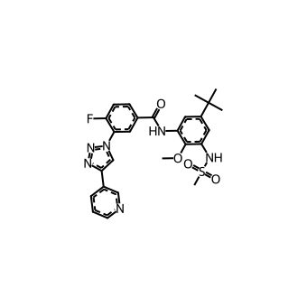 COc1c(NC(=O)c2ccc(F)c(-n3cc(-c4cccnc4)nn3)c2)cc(C(C)(C)C)cc1NS(C)(=O)=O